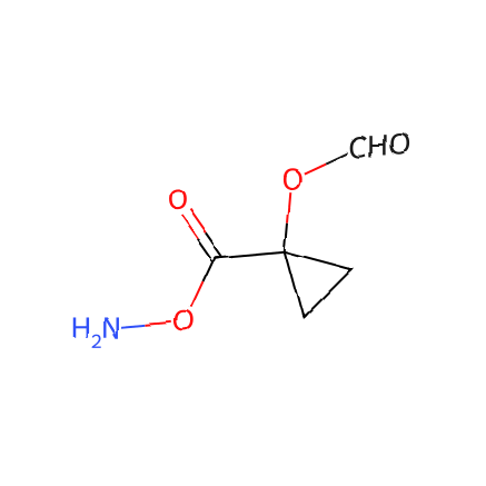 NOC(=O)C1(OC=O)CC1